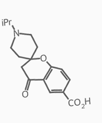 CC(C)N1CCC2(CC1)CC(=O)c1cc(C(=O)O)ccc1O2